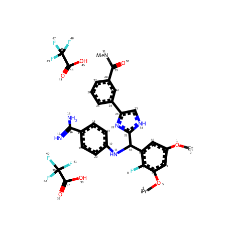 CCOc1cc(OC(C)C)c(F)c(C(Nc2ccc(C(=N)N)cc2)c2nc(-c3cccc(C(=O)NC)c3)c[nH]2)c1.O=C(O)C(F)(F)F.O=C(O)C(F)(F)F